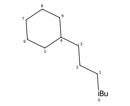 CCC(C)CC[CH]C1CCCCC1